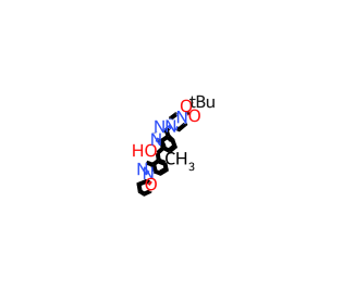 Cc1ccc2c(cnn2C2CCCCO2)c1C(O)c1cccc2c(N3CCN(C(=O)OC(C)(C)C)CC3)ncnc12